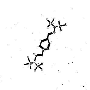 C[Si](C)(C)N(N=Cc1ccc(C=NN([Si](C)(C)C)[Si](C)(C)C)cc1)[Si](C)(C)C